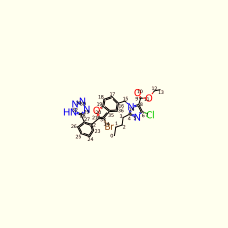 CCCCc1nc(Cl)c(C(=O)OCC)n1Cc1ccc2oc(-c3ccccc3-c3nnn[nH]3)c(Br)c2c1